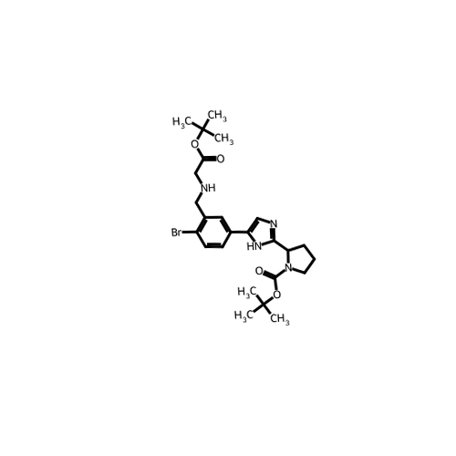 CC(C)(C)OC(=O)CNCc1cc(-c2cnc(C3CCCN3C(=O)OC(C)(C)C)[nH]2)ccc1Br